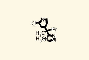 CC(C)C(C)(c1ccnc(Cl)c1)c1nncn1C